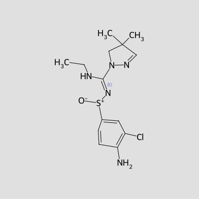 CCN/C(=N\[S+]([O-])c1ccc(N)c(Cl)c1)N1CC(C)(C)C=N1